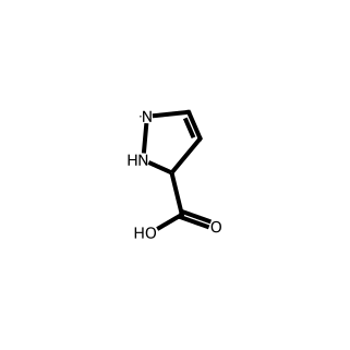 O=C(O)C1C=C[N]N1